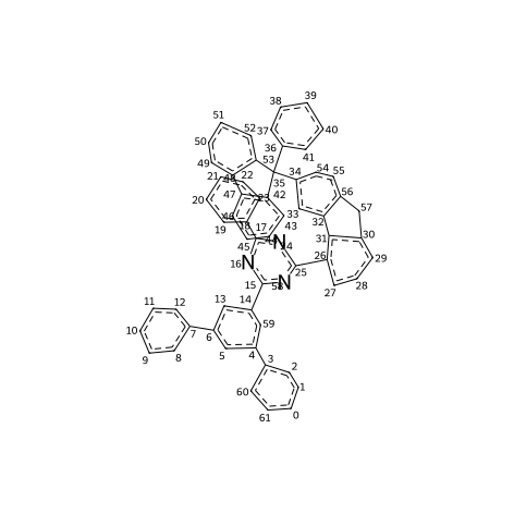 c1ccc(-c2cc(-c3ccccc3)cc(-c3nc(-c4ccccc4)nc(-c4cccc5c4-c4cc(C6(c7ccccc7)c7ccccc7-c7ccccc76)ccc4C5)n3)c2)cc1